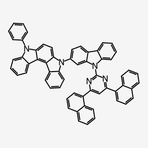 c1ccc(-n2c3ccccc3c3c4c5ccccc5n(-c5ccc6c7ccccc7n(-c7nc(-c8cccc9ccccc89)cc(-c8cccc9ccccc89)n7)c6c5)c4ccc32)cc1